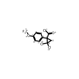 O=C(Cl)C1(c2ccc(OC(F)(F)F)cc2)CC1(Cl)Cl